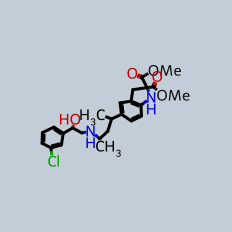 COC(=O)C1(C(=O)OC)Cc2cc(C(C)CC(C)NCC(O)c3cccc(Cl)c3)ccc2N1